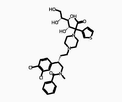 CC(=O)C(c1ccsc1)([C@H](O)[C@@H](O)[C@H](O)CO)N1CCN(CC[C@H](CN(C)C(=O)c2ccccc2)c2ccc(Cl)c(Cl)c2)CC1